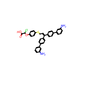 Nc1cccc(-c2ccc(C(=CCSc3ccc(OC(Cl)C(=O)O)cc3)c3ccc(-c4cccc(N)c4)cc3)cc2)c1